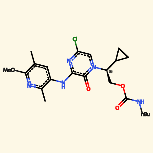 CCCCNC(=O)OC[C@H](C1CC1)n1cc(Cl)nc(Nc2cc(C)c(OC)nc2C)c1=O